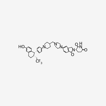 O=C1CC[C@H](N2Cc3cc(N4CCN(CC5CCN(c6ccc([C@H]7c8ccc(O)cc8CC[C@H]7CC(F)(F)F)cc6)CC5)CC4)ccc3C2=O)C(=O)N1